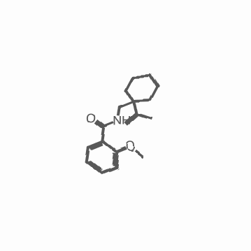 C=C(C)C1(CNC(=O)c2ccccc2OC)CCCCC1